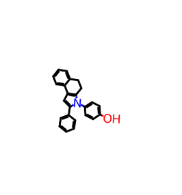 Oc1ccc(-n2c(-c3ccccc3)cc3c2CCc2ccccc2-3)cc1